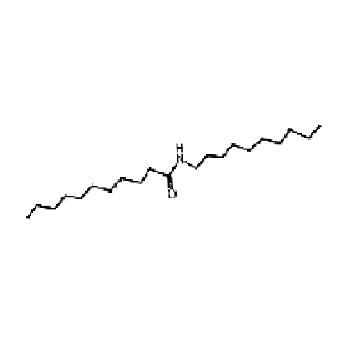 CCCCCCCCCCNC(=O)CCCCCCCCCC